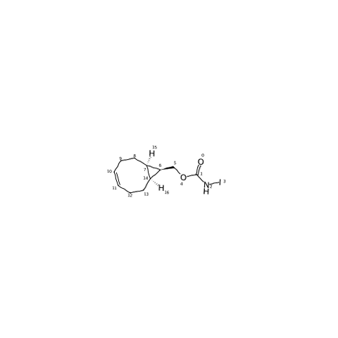 O=C(NI)OC[C@@H]1[C@@H]2CC/C=C\CC[C@@H]21